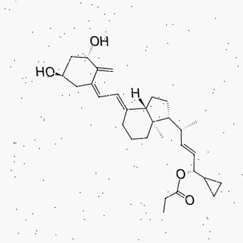 C=C1/C(=C\C=C2/CCC[C@]3(C)[C@@H]([C@H](C)/C=C/[C@@H](OC(=O)CC)C4CC4)CC[C@@H]23)C[C@@H](O)C[C@@H]1O